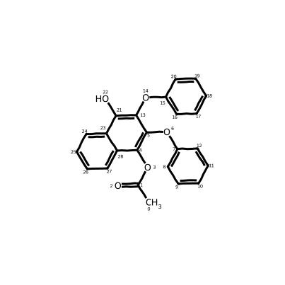 CC(=O)Oc1c(Oc2ccccc2)c(Oc2ccccc2)c(O)c2ccccc12